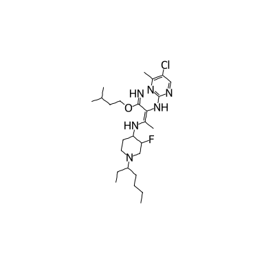 CCCCC(CC)N1CCC(N/C(C)=C(/Nc2ncc(Cl)c(C)n2)C(=N)OCCC(C)C)C(F)C1